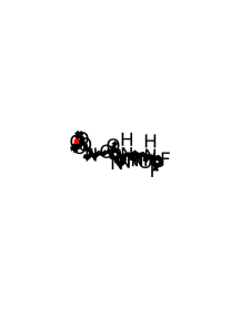 CCN(CCCOc1cc2ncnc(Nc3cc(CC(=O)Nc4cc(F)cc(F)c4)[nH]n3)c2cc1OC)CCOP(=O)(OC(C)(C)C)OC(C)(C)C